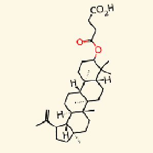 C=C(C)[C@@H]1CC[C@]2(C)CC[C@]3(C)[C@H](CC[C@@H]4[C@@]5(C)CCC(OC(=O)CCC(=O)O)C(C)(C)[C@@H]5CC[C@]43C)[C@@H]12